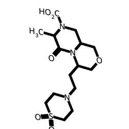 CC1C(=O)N2C(CCN3CCS(=O)(=O)CC3)COCC2CN1C(=O)O